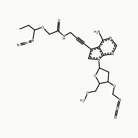 CCC(N=[N+]=[N-])OCC(=O)NCC#Cc1cn(C2CC(OCN=[N+]=[N-])C(COP)O2)c2ncnc(N)c12